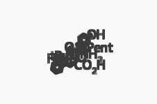 CCCCCN(N)[C@@](Cc1ccc(O)cc1)(C(=O)NC(Cc1c[nH]c2ccccc12)C(=O)O)C(=O)OC(C)(C)C